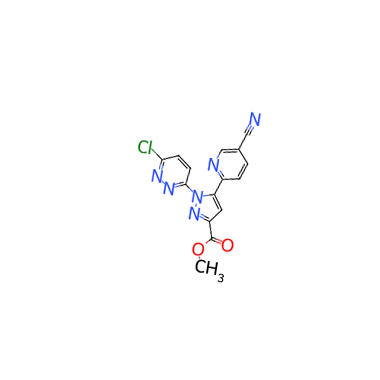 COC(=O)c1cc(-c2ccc(C#N)cn2)n(-c2ccc(Cl)nn2)n1